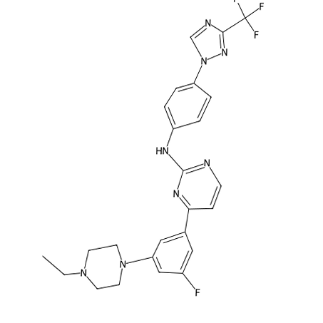 CCN1CCN(c2cc(F)cc(-c3ccnc(Nc4ccc(-n5cnc(C(F)(F)F)n5)cc4)n3)c2)CC1